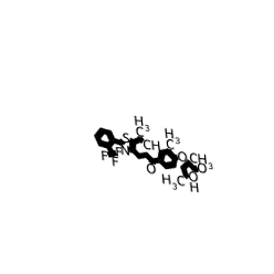 CCCC(C)(Oc1ccc(C(=O)CCc2nc(-c3ccccc3C(F)(F)F)sc2C(C)C)cc1C)C(=O)O